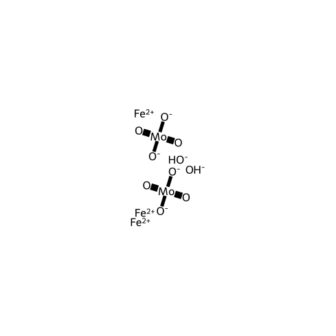 [Fe+2].[Fe+2].[Fe+2].[OH-].[OH-].[O]=[Mo](=[O])([O-])[O-].[O]=[Mo](=[O])([O-])[O-]